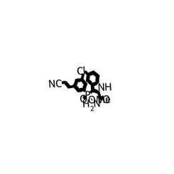 CO[P@](=O)(c1cc(C)cc(/C=C/C#N)c1)c1c(C(N)=O)[nH]c2ccc(Cl)cc12